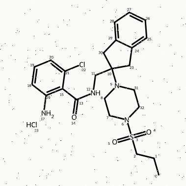 CCCS(=O)(=O)N1CCN(C2(CNC(=O)c3c(N)cccc3Cl)Cc3ccccc3C2)CC1.Cl